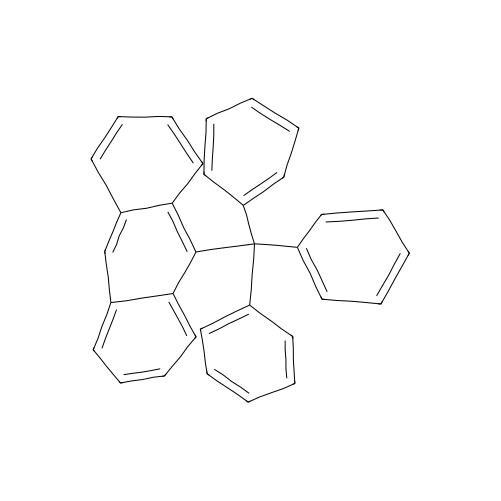 c1ccc(C(c2ccccc2)(c2ccccc2)c2c3ccccc3cc3ccccc23)cc1